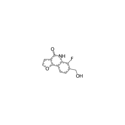 O=c1[nH]c2c(F)c(CO)ccc2c2occc12